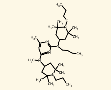 CCCCN(c1nc(C)nc(N(C)C2CC(C)(C)N(CCC)C(C)(C)C2)n1)C1CC(C)(C)N(OCCC)C(C)(C)C1